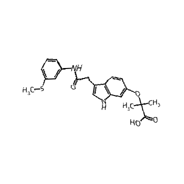 CSc1cccc(NC(=O)Cc2c[nH]c3cc(OC(C)(C)C(=O)O)ccc23)c1